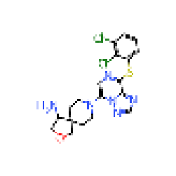 NC1COCC12CCN(c1cnc(Sc3cccc(Cl)c3Cl)c3ncnn13)CC2